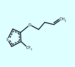 C=CCCOc1cs[c]c1C(F)(F)F